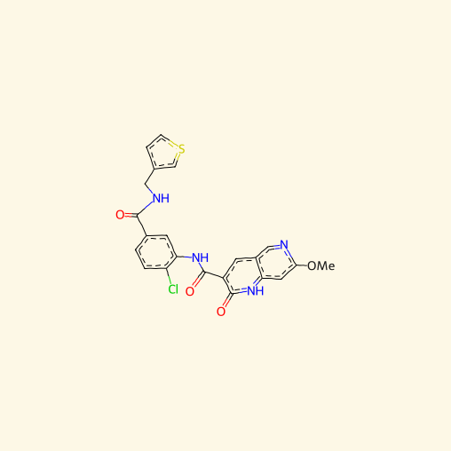 COc1cc2[nH]c(=O)c(C(=O)Nc3cc(C(=O)NCc4ccsc4)ccc3Cl)cc2cn1